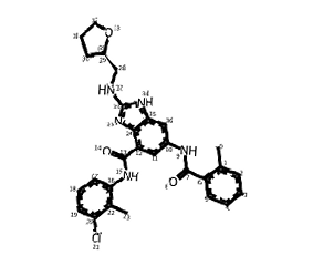 Cc1ccccc1C(=O)Nc1cc(C(=O)Nc2cccc(Cl)c2C)c2nc(NC[C@H]3CCCO3)[nH]c2c1